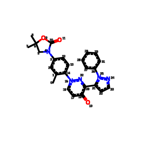 Cc1cc(N2CC(C)(C)OC2=O)ccc1-n1ccc(=O)c(-c2ccnn2-c2ccccc2)n1